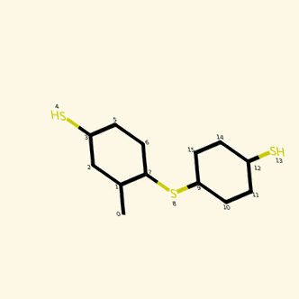 CC1CC(S)CCC1SC1CCC(S)CC1